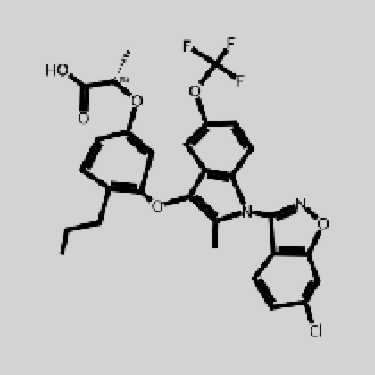 CCCc1ccc(O[C@@H](C)C(=O)O)cc1Oc1c(C)n(-c2noc3cc(Cl)ccc23)c2ccc(OC(F)(F)F)cc12